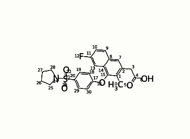 Cc1c(CC(=O)O)cc2ccc(F)cc2c1Oc1ccc(S(=O)(=O)N2CCCC2)cc1